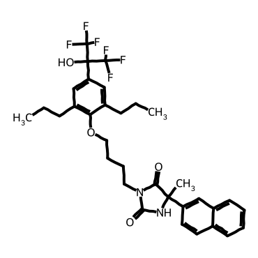 CCCc1cc(C(O)(C(F)(F)F)C(F)(F)F)cc(CCC)c1OCCCCN1C(=O)NC(C)(c2ccc3ccccc3c2)C1=O